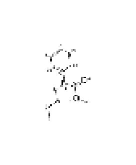 CCCCN(C(=O)OC)c1ccccc1